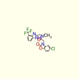 CN(Cc1nc2c(C(F)(F)F)cccc2[nH]1)C(=O)Cn1c(=O)oc2ccc(Cl)cc21